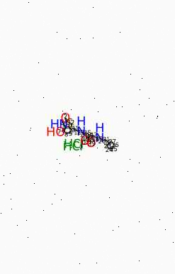 Cl.Cl.O=c1[nH]c2c(O)ccc(CCNCCC(CCNCCc3ccccc3)=S(=O)=O)c2s1